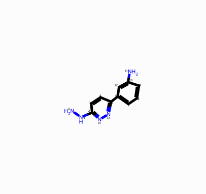 NNc1ccc(-c2cccc(N)c2)nn1